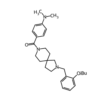 CC(C)COc1ccccc1CN1CCC2(CCN(C(=O)c3ccc(N(C)C)cc3)CC2)C1